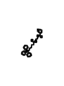 O=C(CCCCC[PH](c1ccccc1)(c1ccccc1)c1ccccc1)OCCOC(=O)c1cccnc1